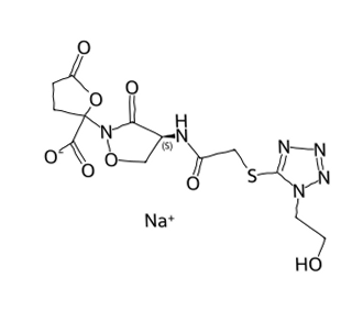 O=C(CSc1nnnn1CCO)N[C@H]1CON(C2(C(=O)[O-])CCC(=O)O2)C1=O.[Na+]